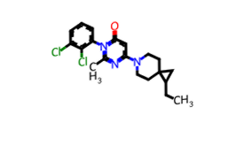 CCC1CC12CCN(c1cc(=O)n(-c3cccc(Cl)c3Cl)c(C)n1)CC2